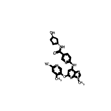 Cc1cc(C#N)ncc1Oc1cc(Nc2ccc(C(=O)N[C@@H]3CC[C@@H](O)C3)cn2)c2ncn(C)c2n1